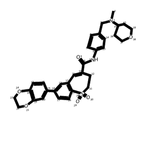 CN(Cc1ccc(NC(=O)C2=Cc3cc(-c4ccc5c(c4)OCCO5)ccc3S(=O)(=O)CC2)cc1)C1CCOCC1